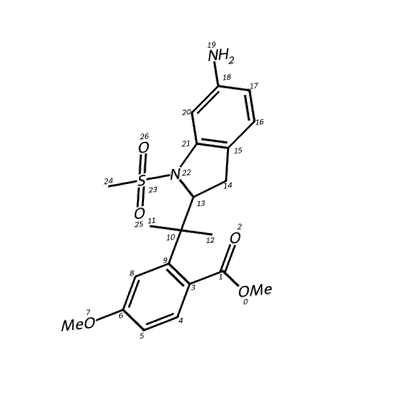 COC(=O)c1ccc(OC)cc1C(C)(C)C1Cc2ccc(N)cc2N1S(C)(=O)=O